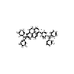 c1ccc(N(c2ccccc2)c2ccc(-c3ccc4ccc5c6c(ccc3c46)cc3c5c4ccccc4n3-c3ccccc3)cn2)cc1